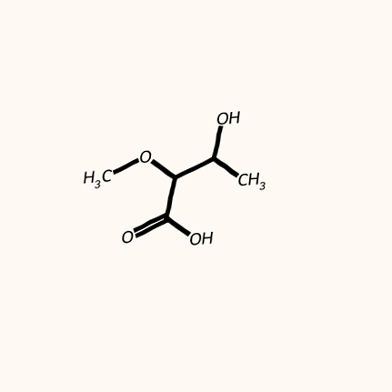 COC(C(=O)O)C(C)O